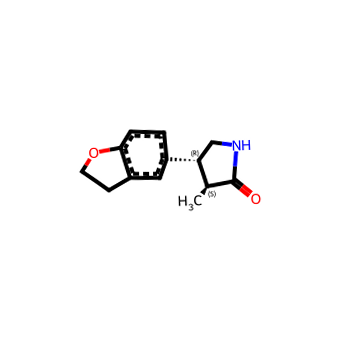 C[C@@H]1C(=O)NC[C@H]1c1ccc2c(c1)CCO2